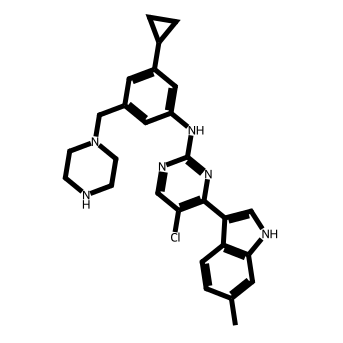 Cc1ccc2c(-c3nc(Nc4cc(CN5CCNCC5)cc(C5CC5)c4)ncc3Cl)c[nH]c2c1